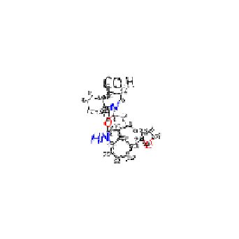 CC(CC(=O)N1CCC(C(=O)O)C2CCCC[C@@H]21)c1c[nH]c2cccc(-c3ccco3)c12